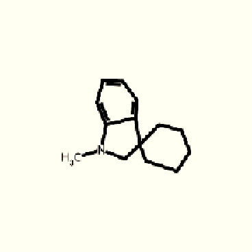 CN1CC2(CCCCC2)c2ccccc21